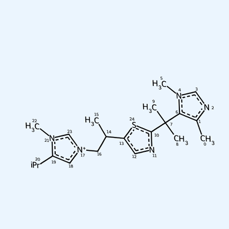 Cc1ncn(C)c1C(C)(C)c1ncc(C(C)C[n+]2cc(C(C)C)n(C)c2)s1